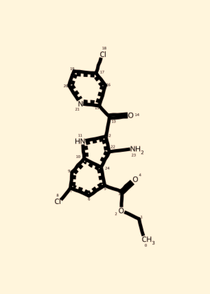 CCOC(=O)c1cc(Cl)cc2[nH]c(C(=O)c3cc(Cl)ccn3)c(N)c12